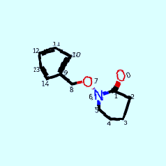 O=C1CCCCN1OCc1ccccc1